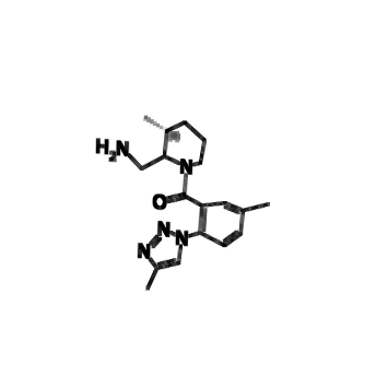 Cc1ccc(-n2cc(C)nn2)c(C(=O)N2CCC[C@@H](C)C2CN)c1